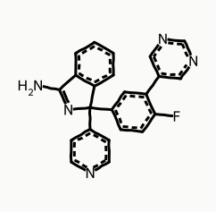 NC1=NC(c2ccncc2)(c2ccc(F)c(-c3cncnc3)c2)c2ccccc21